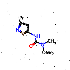 CON(C)C(=O)Nc1cc(C(C)C)ns1